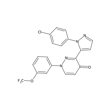 O=c1ccn(-c2cccc(OC(F)(F)F)c2)nc1-c1ccnn1-c1ccc(Cl)cc1